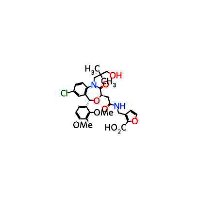 COc1cccc([C@H]2O[C@H](CC(=O)NCc3ccoc3C(=O)O)C(=O)N(CC(C)(C)CO)c3ccc(Cl)cc32)c1OC